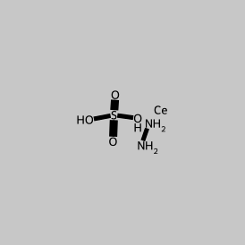 NN.O=S(=O)(O)O.[Ce]